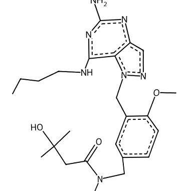 CCCCNc1nc(N)nc2cnn(Cc3cc(CN(C)C(=O)CC(C)(C)O)ccc3OC)c12